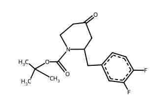 CC(C)(C)OC(=O)N1CCC(=O)CC1Cc1ccc(F)c(F)c1